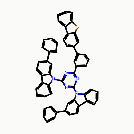 c1ccc(-c2ccc3c4ccccc4n(-c4nc(-c5cccc(-c6ccc7c(c6)sc6ccccc67)c5)nc(-n5c6ccccc6c6ccc(-c7ccccc7)cc65)n4)c3c2)cc1